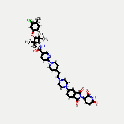 CC1(C)[C@H](NC(=O)c2ccc(N3CCC(CCN4CCN(c5ccc6c(c5)C(=O)N(C5CCC(=O)NC5=O)C6=O)CC4)CC3)nc2)C(C)(C)[C@H]1Oc1ccc(C#N)c(Cl)c1